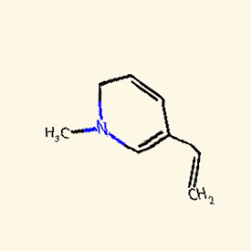 C=CC1=CN(C)CC=C1